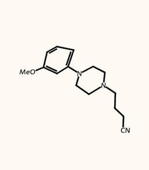 COc1cccc(N2CCN(CCCC#N)CC2)c1